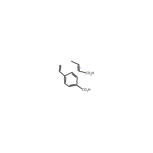 C/C=C/C(=O)O.C=Cc1ccc(C(=O)O)cc1